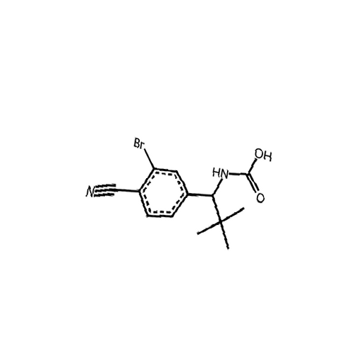 CC(C)(C)C(NC(=O)O)c1ccc(C#N)c(Br)c1